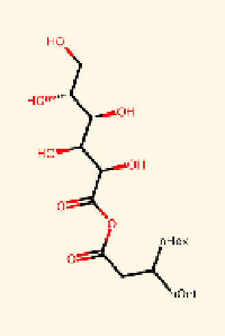 CCCCCCCCC(CCCCCC)CC(=O)OC(=O)[C@H](O)[C@@H](O)[C@H](O)[C@H](O)CO